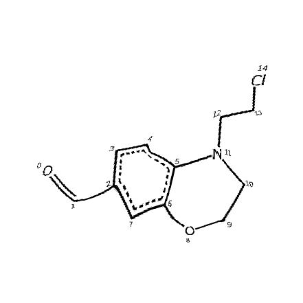 O=Cc1ccc2c(c1)OCCN2CCCl